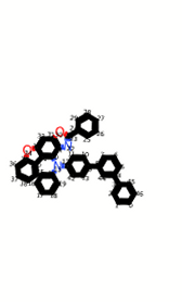 c1ccc(-c2cccc(-c3ccc(N(c4ccccc4)c4c5nc(-c6ccccc6)oc5cc5oc6ccccc6c45)cc3)c2)cc1